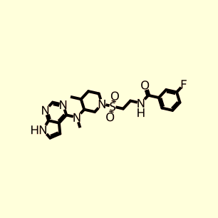 CC1CCN(S(=O)(=O)CCNC(=O)c2cccc(F)c2)CC1N(C)c1ncnc2[nH]ccc12